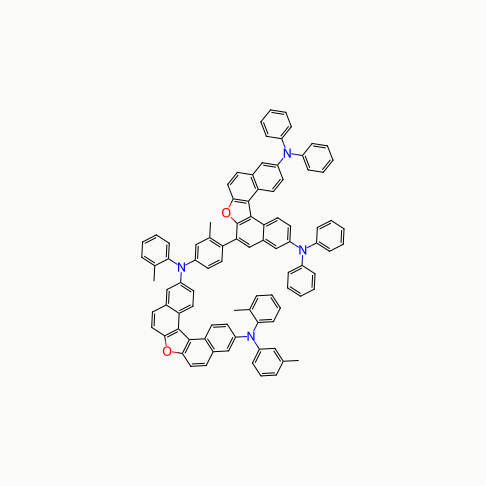 Cc1cccc(N(c2ccc3c(ccc4oc5ccc6cc(N(c7ccc(-c8cc9cc(N(c%10ccccc%10)c%10ccccc%10)ccc9c9c8oc8ccc%10cc(N(c%11ccccc%11)c%11ccccc%11)ccc%10c89)c(C)c7)c7ccccc7C)ccc6c5c43)c2)c2ccccc2C)c1